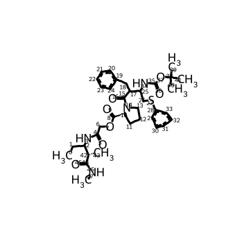 CCC(NC(=O)COC(=O)[C@@H]1CCCN1C(=O)C(Cc1ccccc1)C(CSc1ccccc1)NC(=O)OC(C)(C)C)[C@H](C)C(=O)NC